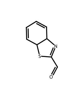 O=CC1=NC2C=CC=CC2S1